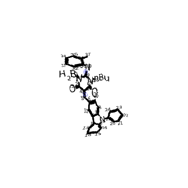 BN1C(=O)/C(=C/c2ccc3c(c2)c2ccccc2n3-c2ccccc2)C(=O)N(CCCC)/C1=N/c1ccccc1C